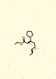 C/C=C/[C@@H](C)C/C(=C/C(=O)OCC)N1CCCC1